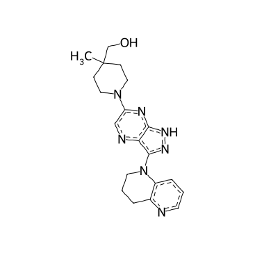 CC1(CO)CCN(c2cnc3c(N4CCCc5ncccc54)n[nH]c3n2)CC1